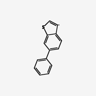 [c]1csc2cc(-c3ccccc3)ccc12